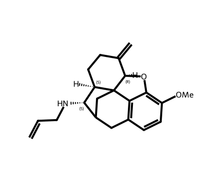 C=CCN[C@H]1C2Cc3ccc(OC)c4c3C3(C2)[C@H](O4)C(=C)CC[C@H]13